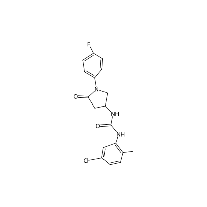 Cc1ccc(Cl)cc1NC(=O)NC1CC(=O)N(c2ccc(F)cc2)C1